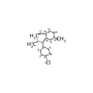 C=C/C(c1ccc(Cl)cc1)=c1/cc(C)cc/c1=C/C